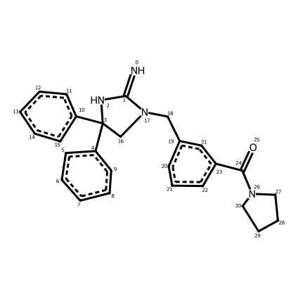 N=C1NC(c2ccccc2)(c2ccccc2)CN1Cc1cccc(C(=O)N2CCCC2)c1